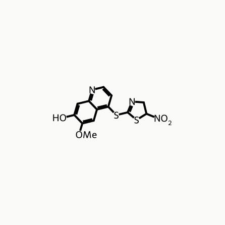 COc1cc2c(SC3=NCC([N+](=O)[O-])S3)ccnc2cc1O